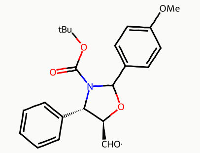 COc1ccc(C2O[C@@H]([C]=O)[C@H](c3ccccc3)N2C(=O)OC(C)(C)C)cc1